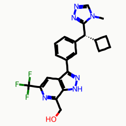 Cn1cnnc1[C@@H](c1cccc(-c2n[nH]c3c(CO)nc(C(F)(F)F)cc23)c1)C1CCC1